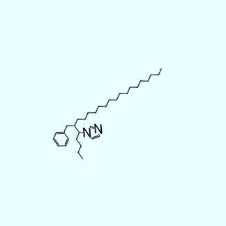 CCCCCCCCCCCCCCCCCC(Cc1ccccc1)C(CCCC)n1ccnc1